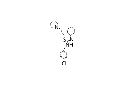 Clc1ccc(CNC(=NC2CCCCC2)SCCCN2CCCCC2)cc1